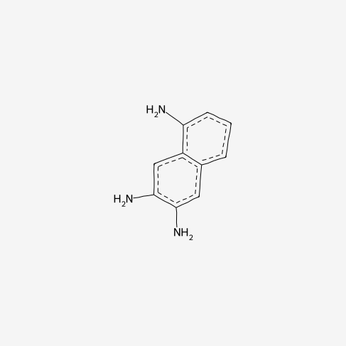 Nc1cc2cccc(N)c2cc1N